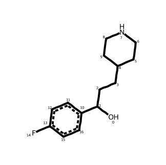 OC(CCC1CCNCC1)c1ccc(F)cc1